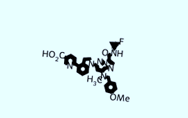 COc1ccc(CN(C)c2cc(N3CCc4c(-c5ccc(C(=O)O)cn5)cccc43)nn3c(C(=O)N[C@@H]4C[C@@H]4F)cnc23)cc1